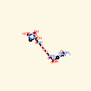 Nc1ncc(CNc2ccc(C(=O)N[C@@H](CCC(=O)NCCCOCCOCCOCCCNC(=O)CCC(C(=O)O)N3CCN(CC(=O)O)CCN(CC(=O)O)Cc4cccc(n4)C3)C(=O)O)cc2)nc1C=O